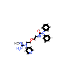 N#CN=C(N)N(CCOCCNC(=O)N(c1ccccc1)c1ccccc1)c1ccncc1